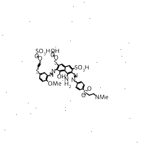 CNCCS(=O)(=O)c1ccc(N=Nc2c(S(=O)(=O)O)cc3cc(SOOO)c(N=Nc4cc(SC#COOS(=O)(=O)O)ccc4OC)c(O)c3c2N)cc1